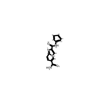 NC(=O)c1ccc2nc(C(=O)Nc3ccccc3)cn2c1